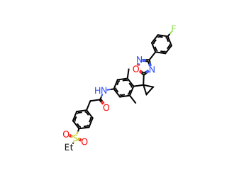 CCS(=O)(=O)c1ccc(CC(=O)Nc2cc(C)c(C3(c4nc(-c5ccc(F)cc5)no4)CC3)c(C)c2)cc1